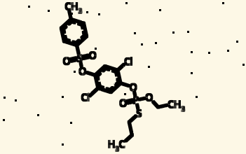 CCCSP(=O)(OCC)Oc1cc(Cl)c(OS(=O)(=O)c2ccc(C)cc2)cc1Cl